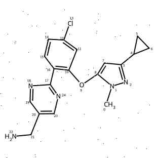 Cn1nc(C2CC2)cc1Oc1cc(Cl)ccc1-c1ncc(CN)cn1